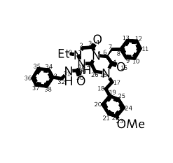 CCN1CC(=O)N2[C@@H](Cc3ccccc3)C(=O)N(CCc3ccc(OC)cc3)C[C@@H]2N1C(=O)NCc1ccccc1